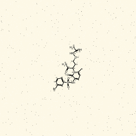 Cc1ccc(NS(=O)(=O)c2cccc(Br)c2)c(=O)n1C(CCONC(=N)N)C(N)=O